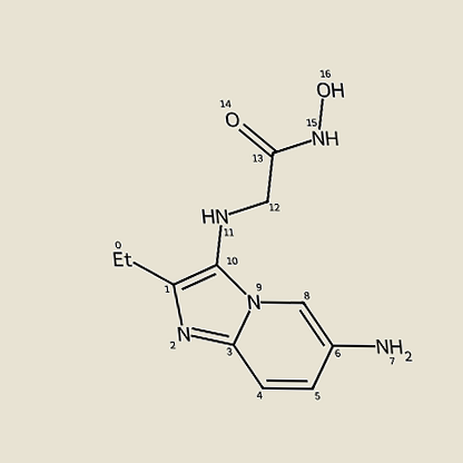 CCc1nc2ccc(N)cn2c1NCC(=O)NO